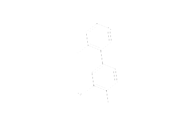 N#Cc1cc(-c2cnccc2Cl)ccc1F